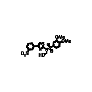 COc1ccc(S(=O)(=O)N(CO)c2nc(-c3cccc([N+](=O)[O-])c3)cs2)cc1OC